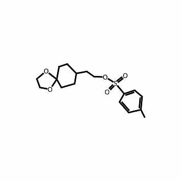 Cc1ccc(S(=O)(=O)OCCC2CCC3(CC2)OCCO3)cc1